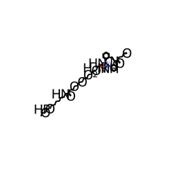 CCOPOCCCCCCNC(=O)CCOCCOCCOCCOCCN/C1=C(\NN)c2ccccc2N(C(=O)CCC=O)Cc2ccccc21